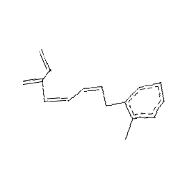 C=CC(=C)/C=C\C=C/Cc1ccccc1C